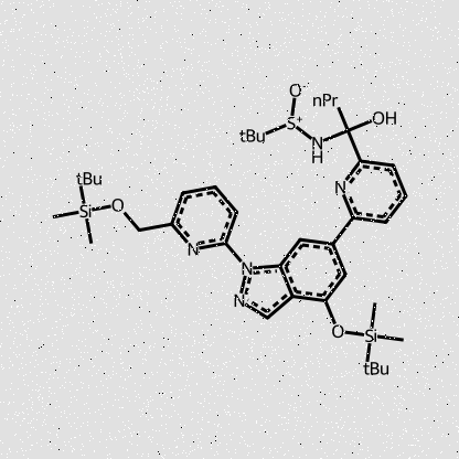 CCCC(O)(N[S+]([O-])C(C)(C)C)c1cccc(-c2cc(O[Si](C)(C)C(C)(C)C)c3cnn(-c4cccc(CO[Si](C)(C)C(C)(C)C)n4)c3c2)n1